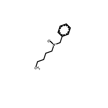 CCCCC[N+](Cl)Cc1ccccc1